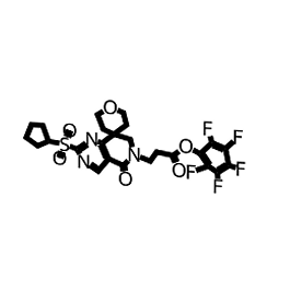 O=C(CCN1CC2(CCOCC2)c2nc(S(=O)(=O)C3CCCC3)ncc2C1=O)Oc1c(F)c(F)c(F)c(F)c1F